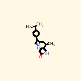 CC(C)c1ccc(C2CNC2CC(C)c2ccc(=O)[nH]c2)cc1